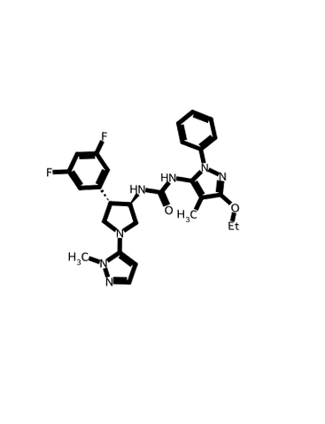 CCOc1nn(-c2ccccc2)c(NC(=O)N[C@H]2CN(c3ccnn3C)C[C@@H]2c2cc(F)cc(F)c2)c1C